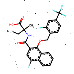 CCC(C)(NC(=O)c1cc(F)c2ccccc2c1OCc1ccc(C(F)(F)F)cc1F)C(=O)O